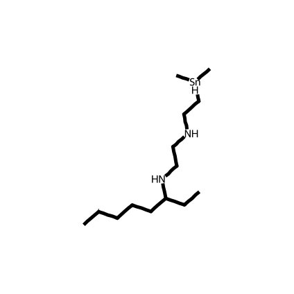 C[CH]CCCC(CC)NCCNC[CH2][SnH]([CH3])[CH3]